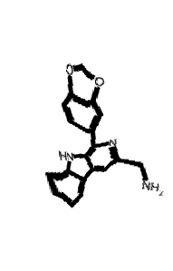 NCc1cc2c([nH]c3ccccc32)c(-c2ccc3c(c2)OCO3)n1